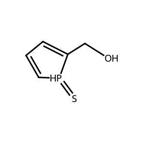 OCC1=CC=C[PH]1=S